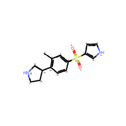 Cc1cc(S(=O)(=O)c2cc[nH]c2)ccc1C1CCNC1